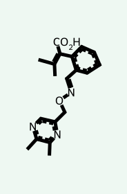 CC(C)=C(C(=O)O)c1ccccc1/C=N/OCc1cnc(C)c(C)n1